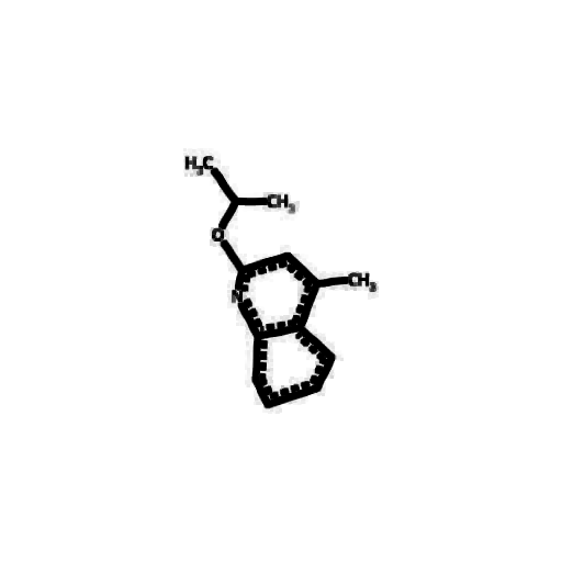 Cc1cc(OC(C)C)nc2ccccc12